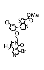 COC(=O)c1csc2c(-c3cc(Cl)ccc3OCCNC(=O)c3c(N)cncc3Br)ccnc12